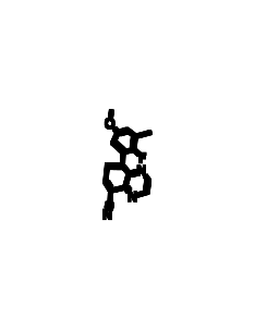 COc1cc(C)c(F)c(-c2ccc(C#N)c3nccnc23)c1